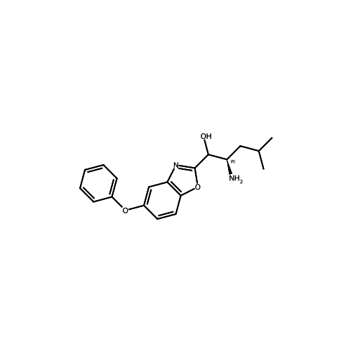 CC(C)C[C@@H](N)C(O)c1nc2cc(Oc3ccccc3)ccc2o1